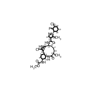 COC(=O)Nc1ccc2c(c1)NC(=O)C(C)CCCC(NC(=O)c1cnn(-c3cccc(Cl)c3F)c1C)c1nc-2c(Cl)[nH]1